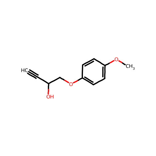 C#CC(O)COc1ccc(OC)cc1